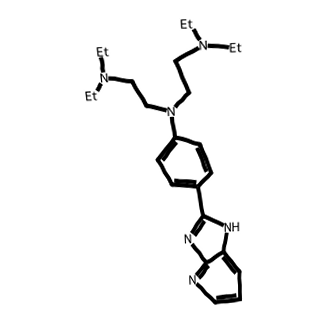 CCN(CC)CCN(CCN(CC)CC)c1ccc(-c2nc3ncccc3[nH]2)cc1